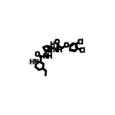 CCC1CCNC(C(=O)NC23CC(C2)[C@@H](NC(=O)COc2ccc(Cl)c(Cl)c2)C3)C1